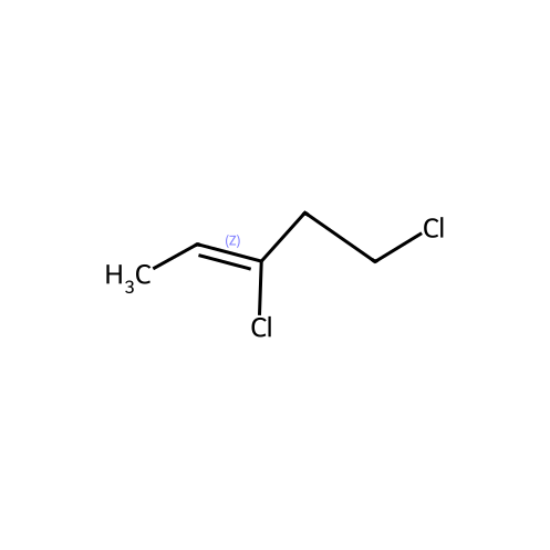 C/C=C(\Cl)CCCl